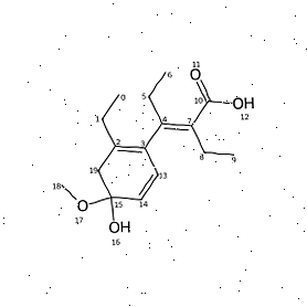 CCC1=C(C(CC)=C(CC)C(=O)O)C=CC(O)(OC)C1